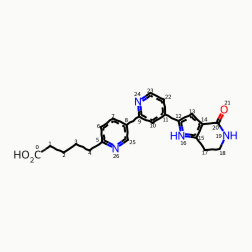 O=C(O)CCCCc1ccc(-c2cc(-c3cc4c([nH]3)CCNC4=O)ccn2)cn1